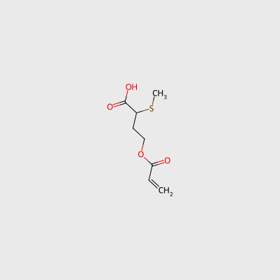 C=CC(=O)OCCC(SC)C(=O)O